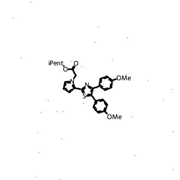 CCCC(C)OC(=O)Cn1cccc1-c1nc(-c2ccc(OC)cc2)c(-c2ccc(OC)cc2)s1